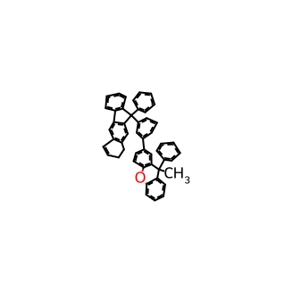 CC1(c2ccccc2)c2ccccc2Oc2ccc(-c3cccc(C4(c5ccccc5)c5ccccc5-c5cc6c(cc54)CCC=C6)c3)cc21